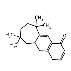 CC1(C)CCC(C)(C)C2=CC3=C(CC=CC3=O)CC2C1